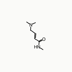 CNC(=O)/C=C/CN(C)C